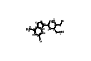 CC(O[C@H](CO)[C@@H](O)CF)c1ccc2c(N)nc(F)nn12